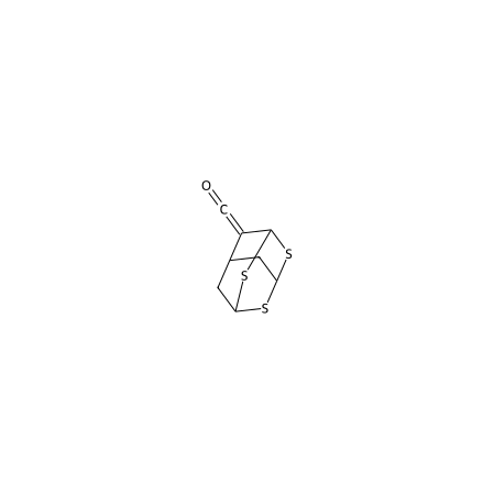 O=C=C1C2CC3SC(C2)SC1S3